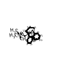 C[Si](C)(C)OC[C@@]1(c2ccccc2)CCCN1c1ccccc1